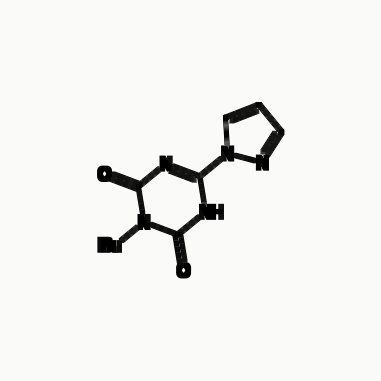 CCC(C)n1c(=O)nc(-n2cccn2)[nH]c1=O